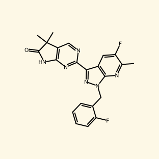 Cc1nc2c(cc1F)c(-c1ncc3c(n1)NC(=O)C3(C)C)nn2Cc1ccccc1F